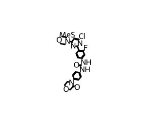 CSc1c(Cl)nc(-c2ccc(NC(=O)Nc3ccc(N4CCOCC4=O)cc3)cc2F)nc1N1CCOCC1